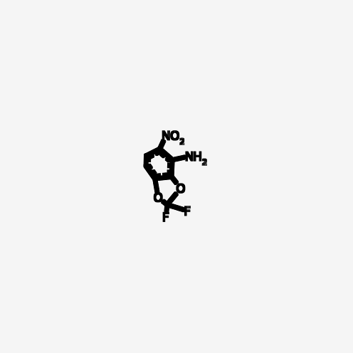 Nc1c([N+](=O)[O-])ccc2c1OC(F)(F)O2